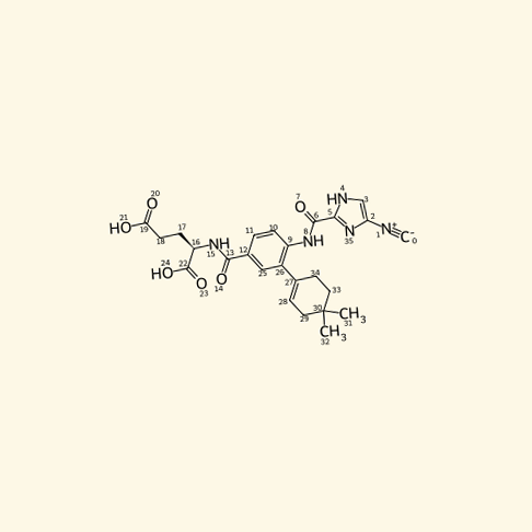 [C-]#[N+]c1c[nH]c(C(=O)Nc2ccc(C(=O)N[C@H](CCC(=O)O)C(=O)O)cc2C2=CCC(C)(C)CC2)n1